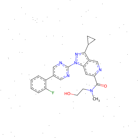 CN(CCO)C(=O)c1cc2c(cn1)c(C1CC1)nn2-c1ncc(-c2ccccc2F)cn1